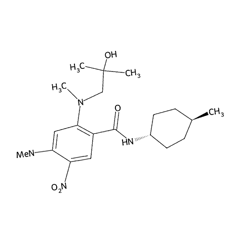 CNc1cc(N(C)CC(C)(C)O)c(C(=O)N[C@H]2CC[C@H](C)CC2)cc1[N+](=O)[O-]